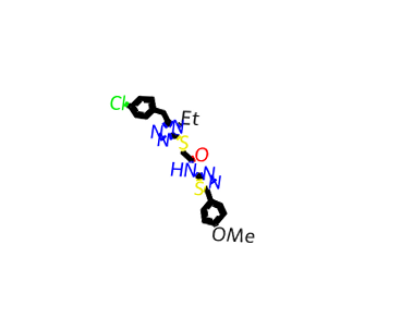 CCn1c(Cc2ccc(Cl)cc2)nnc1SCC(=O)Nc1nnc(-c2ccc(OC)cc2)s1